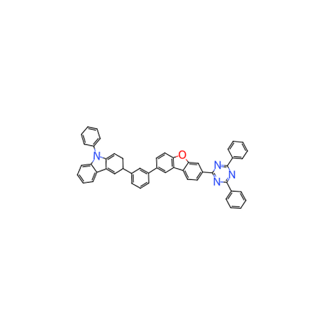 C1=c2c(n(-c3ccccc3)c3ccccc23)=CCC1c1cccc(-c2ccc3oc4cc(-c5nc(-c6ccccc6)nc(-c6ccccc6)n5)ccc4c3c2)c1